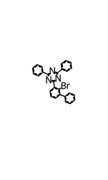 Brc1c(-c2ccccc2)cccc1-c1nc(-c2ccccc2)nc(-c2ccccc2)n1